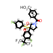 O=C(O)C12CCC(C(=O)N3CCC(c4ccc(C(F)(C(F)(F)F)C(F)(F)F)c(F)c4)(S(=O)(=O)c4ccc(F)cc4)C3)(CC1)CC2